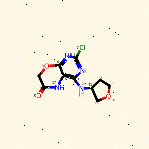 O=C1COc2nc(Cl)nc(NC3CCOC3)c2N1